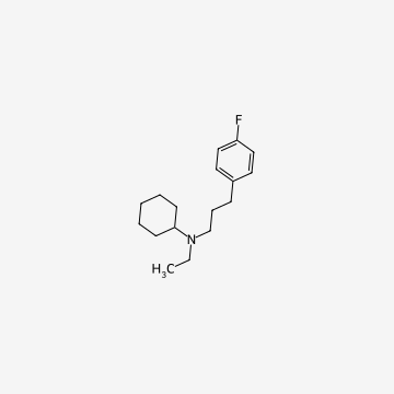 CCN(CCCc1ccc(F)cc1)C1CCCCC1